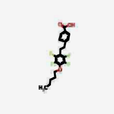 CCCCCOc1c(F)c(F)c(CCc2ccc(C(=O)O)cc2)c(F)c1F